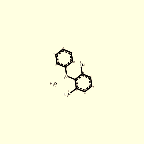 N#Cc1cccc([N+](=O)[O-])c1Oc1ccccc1.O